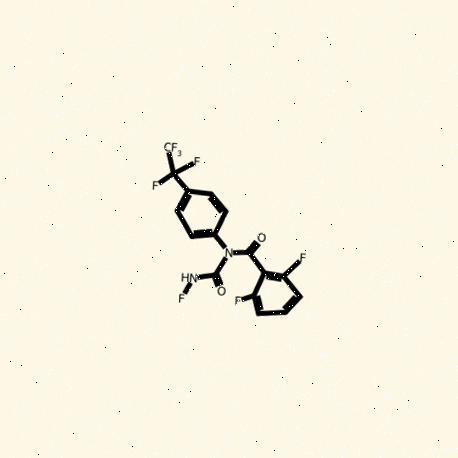 O=C(NF)N(C(=O)c1c(F)cccc1F)c1ccc(C(F)(F)C(F)(F)F)cc1